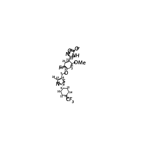 COc1cc(OCc2sc([C@H]3CC[C@H](C(F)(F)F)CC3)nc2C)c(F)cc1-c1noc(=O)[nH]1